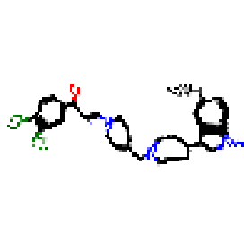 CC(=O)Nc1ccc2[nH]cc(C3CCN(CC4CCN(/C=C/C(=O)c5ccc(Cl)c(Cl)c5)CC4)CC3)c2c1